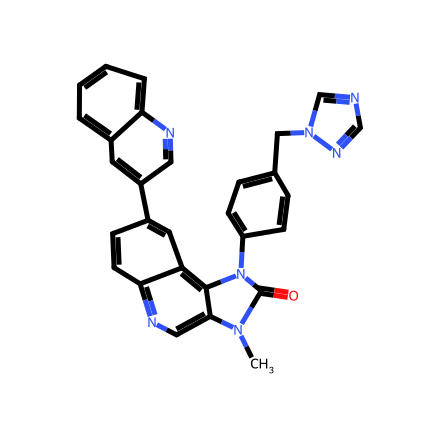 Cn1c(=O)n(-c2ccc(Cn3cncn3)cc2)c2c3cc(-c4cnc5ccccc5c4)ccc3ncc21